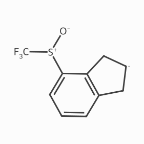 [O-][S+](c1cccc2c1C[CH]C2)C(F)(F)F